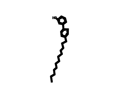 CCCCCCCCCCCCCc1ccc(-c2cccc(O)c2)cc1